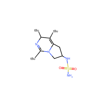 CC(C)(C)C1=NC(C(C)(C)C)C(C(C)(C)C)=C2CC(NS(N)(=O)=O)CN12